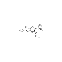 COc1nc(CC(C)C)cnc1C(C)C